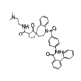 CN(C)CCNC(=O)C1CCC2(CCN(C(=O)c3ccc(NC(=O)c4ccccc4-c4ccccc4)cc3)c3ccccc3C2)C1=O